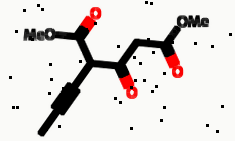 CC#CC(C(=O)CC(=O)OC)C(=O)OC